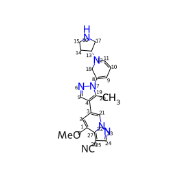 COc1cc(-c2cnn(C3=CC=CN([C@@H]4CCNC4)C3)c2C)cn2ncc(C#N)c12